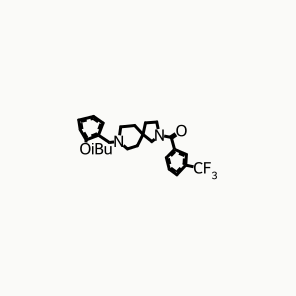 CC(C)COc1ccccc1CN1CCC2(CC1)CCN(C(=O)c1cccc(C(F)(F)F)c1)C2